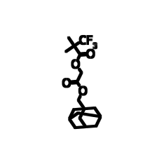 CC(C)(C(=O)OCC(=O)OCC12CC3CC(CC(C3)C1)C2)C(F)(F)F